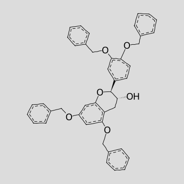 O[C@@H]1Cc2c(OCc3ccccc3)cc(OCc3ccccc3)cc2O[C@H]1c1ccc(OCc2ccccc2)c(OCc2ccccc2)c1